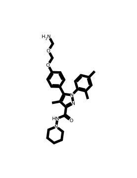 Cc1ccc(-n2nc(C(=O)NN3CCCCC3)c(C)c2-c2ccc(OCOCN)cc2)c(C)c1